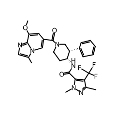 COc1cc(C(=O)N2CC[C@@H](NC(=O)c3c(C(F)(F)F)c(C)nn3C)[C@@H](c3ccccc3)C2)cn2c(C)cnc12